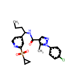 CCCC(NC(=O)c1cnn(-c2ccc(Cl)cc2)c1C)c1ccnc(S(=O)(=O)C2CC2)c1